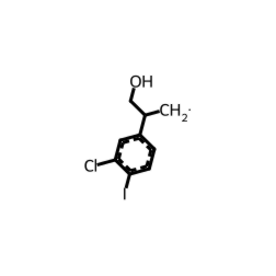 [CH2]C(CO)c1ccc(I)c(Cl)c1